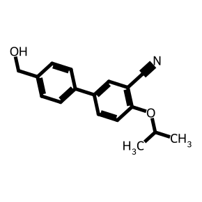 CC(C)Oc1ccc(-c2ccc(CO)cc2)cc1C#N